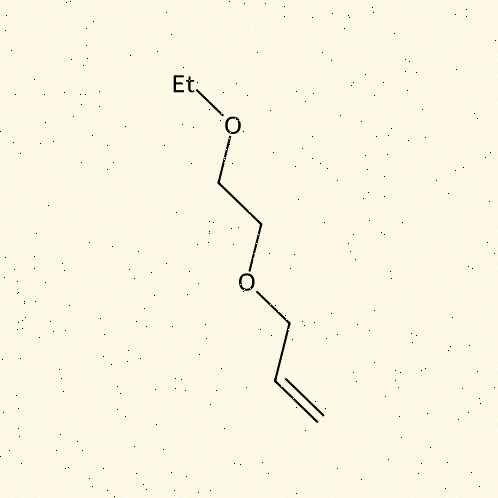 [CH2]COCCOCC=C